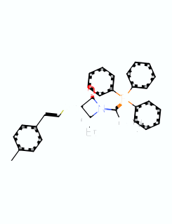 CC[C@@H]1[C@H](SC=Cc2ccc(C)cc2)C(=O)N1C(C(=O)O)=P(c1ccccc1)(c1ccccc1)c1ccccc1